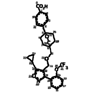 O=C(O)c1ccc(C23CCC(COCc4c(-c5ccccc5OC(F)(F)F)noc4C4CC4)(CC2)CO3)cc1